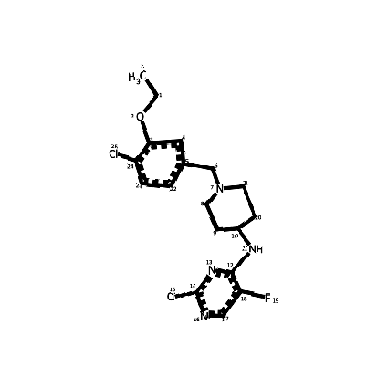 CCOc1cc(CN2CCC(Nc3nc(Cl)ncc3F)CC2)ccc1Cl